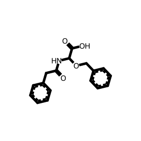 O=C(Cc1ccccc1)NC(OCc1ccccc1)C(=O)O